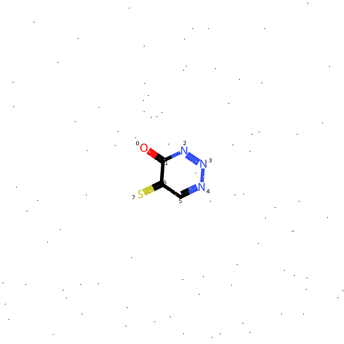 O=C1N=NN=CC1=S